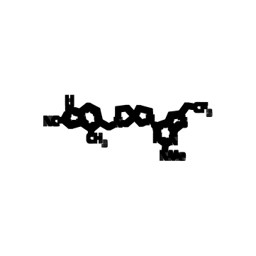 CNc1nc(N2CCC3(CCN(Cc4ccc5[nH]c(C#N)cc5c4C)C3)C2)c2cc(CC(F)(F)F)sc2n1